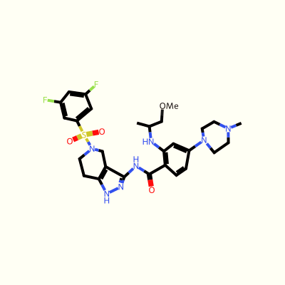 COCC(C)Nc1cc(N2CCN(C)CC2)ccc1C(=O)Nc1n[nH]c2c1CN(S(=O)(=O)c1cc(F)cc(F)c1)CC2